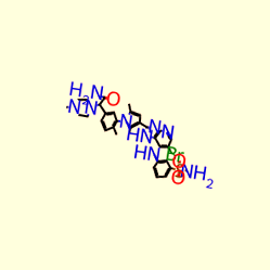 Cc1ccc(C(C(N)=O)N2CCN(C)CC2)cc1-n1c(C)cc(-c2nc3ncc(Br)c(Nc4cccc(S(N)(=O)=O)c4)c3[nH]2)c1C